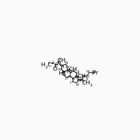 C=CC(=O)N(C)[C@@H]1CC[C@]2(C)C3CC[C@@]4(C)C(CC[C@@H]4[C@H](C)CCCC(C)C)C3CC[C@@H]2C1